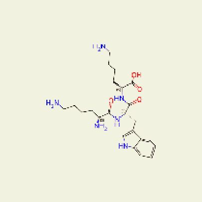 NCCCC[C@H](NC(=O)[C@H](Cc1c[nH]c2ccccc12)NC(=O)[C@@H](N)CCCCN)C(=O)O